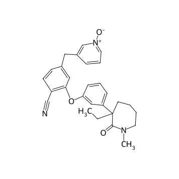 CCC1(c2cccc(Oc3cc(Cc4ccc[n+]([O-])c4)ccc3C#N)c2)CCCCN(C)C1=O